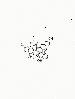 COc1nn(C(Cc2cccc(C)c2)C(=O)Nc2ccccc2C(=O)O)c(=O)cc1-c1cc(Cl)ccc1C(C)=O